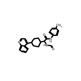 Cc1ccc(NC(=O)C(BC=O)C2CCC(c3ccnc4ccccc34)CC2)cc1